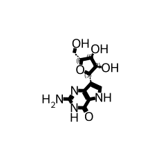 Nc1nc2c([C@@H]3O[C@H](CO)[C@@H](O)[C@H]3O)c[nH]c2c(=O)[nH]1